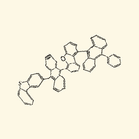 c1ccc(-c2c3ccccc3c(-c3cccc4oc5c(-c6c7ccccc7c(-c7ccc8sc9ccccc9c8c7)c7ccccc67)cccc5c34)c3ccccc23)cc1